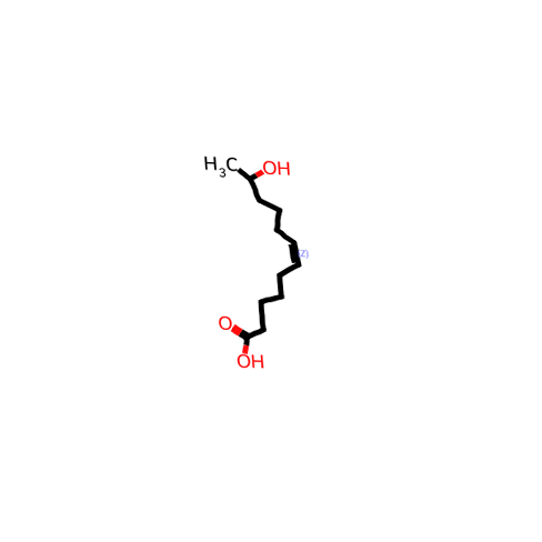 CC(O)CCC/C=C\CCCCC(=O)O